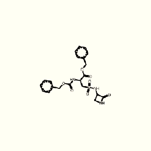 O=C(NC(CS(=O)(=O)NC1CNC1=O)C(=O)OCc1ccccc1)OCc1ccccc1